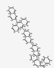 c1ccc2cc(-c3c4ccccc4c(-c4ccc5cc(-c6ccc7oc8c(ccc9ccc%10oc%11ccccc%11c%10c98)c7c6)ccc5c4)c4ccccc34)ccc2c1